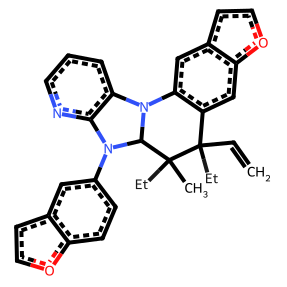 C=CC1(CC)c2cc3occc3cc2N2c3cccnc3N(c3ccc4occc4c3)C2C1(C)CC